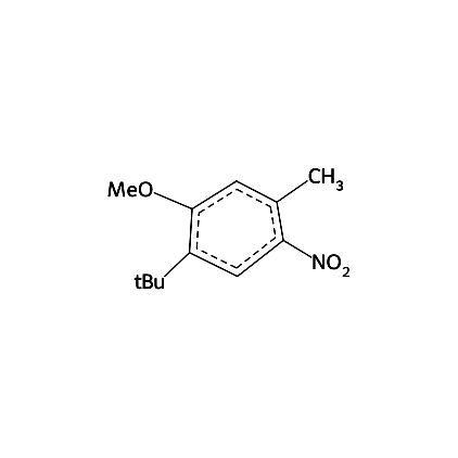 COc1cc(C)c([N+](=O)[O-])cc1C(C)(C)C